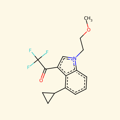 COCCn1cc(C(=O)C(F)(F)F)c2c(C3CC3)cccc21